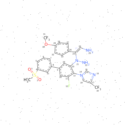 CS(=O)(=O)c1cccc(-c2cc(F)c(-n3cnc(C(F)(F)F)c3)c(N(N)/C(=C\N)c3ccc(OC(F)(F)F)cc3)c2)c1